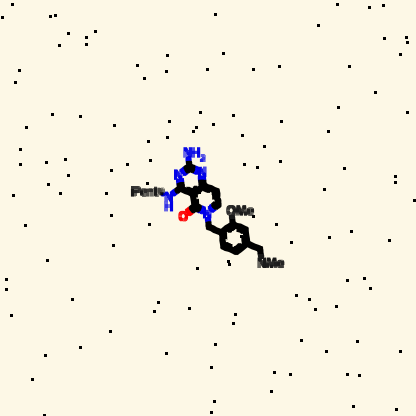 CCC[C@@H](C)Nc1nc(N)nc2ccn(Cc3ccc(CNC)cc3OC)c(=O)c12